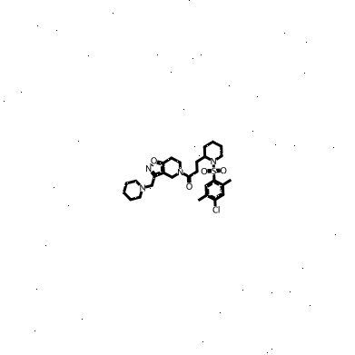 Cc1cc(S(=O)(=O)N2CCCCC2CCC(=O)N2CCc3onc(CN4CCCCC4)c3C2)c(C)cc1Cl